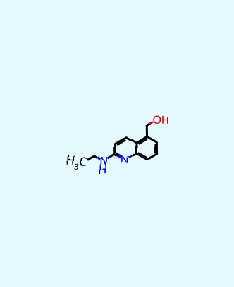 CCNc1ccc2c(CO)cccc2n1